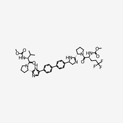 COC(=O)N[C@@H](CCC(F)(F)F)C(=O)N1CCC[C@H]1C1=NCC(c2ccc(-c3ccc(-c4cnc([C@@H]5CCCN5C(=O)[C@@H](NC(=O)OC)C(C)C)[nH]4)cc3)cc2)N1